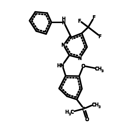 COc1cc(P(C)(C)=O)ccc1Nc1ncc(C(F)(F)F)c(Nc2ccccc2)n1